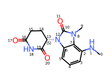 CNc1cccc2c1n(C)c(=O)n2[C@H]1CCC(=O)NC1=O